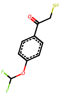 O=C(CS)c1ccc(OC(F)F)cc1